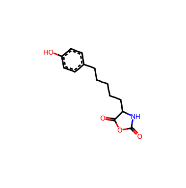 O=C1NC(CCCCCc2ccc(O)cc2)C(=O)O1